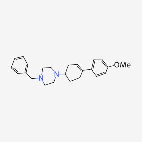 COc1ccc(C2=CCC(N3CCN(Cc4ccccc4)CC3)CC2)cc1